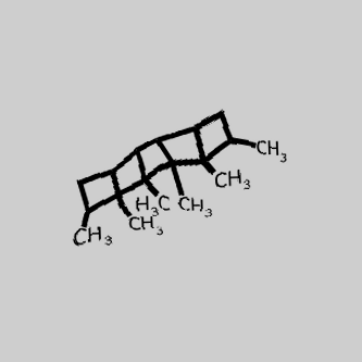 CC1CC2C3C4C5CC(C)C5(C)C4(C)C3(C)C12C